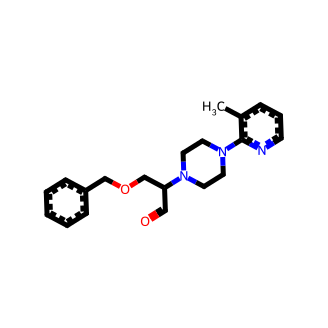 Cc1cccnc1N1CCN(C(C=O)COCc2ccccc2)CC1